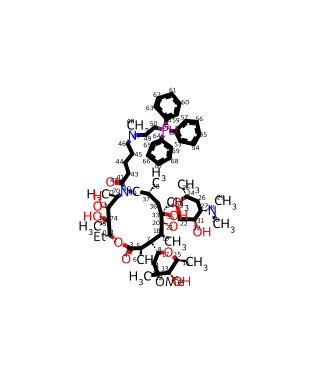 CC[C@H]1OC(=O)[C@H](C)C([C@H]2C[C@@](C)(OC)[C@@H](O)[C@H](C)O2)[C@H](C)[C@@H](O[C@@H]2O[C@H](C)C[C@H](N(C)C)[C@H]2O)[C@](C)(O)C[C@@H](C)CN(C(=O)CCCCN(C)CC[PH](c2ccccc2)(c2ccccc2)c2ccccc2)[C@H](C)[C@@H](O)[C@]1(C)O